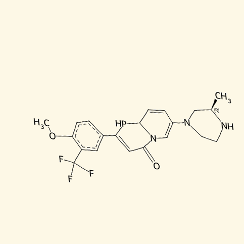 COc1ccc(C2=CC(=O)N3C=C(N4CCN[C@H](C)C4)C=CC3P2)cc1C(F)(F)F